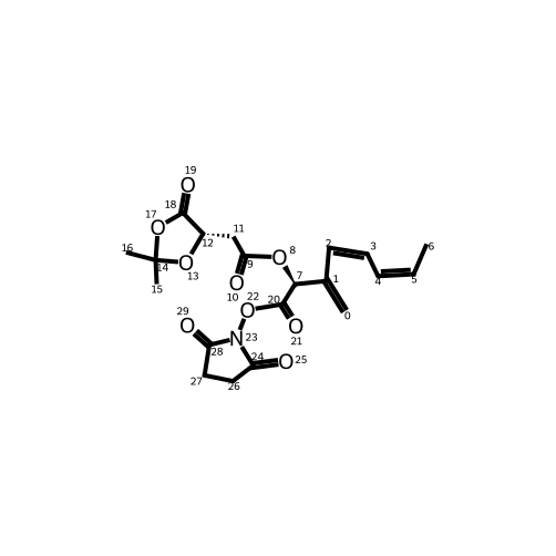 C=C(/C=C\C=C/C)[C@H](OC(=O)C[C@@H]1OC(C)(C)OC1=O)C(=O)ON1C(=O)CCC1=O